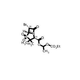 CCOC(=O)OC(C)OC(=O)[C@@H]1N2C(=O)[C@@H](Br)[C@H]2S(=O)(=O)C1(C)C